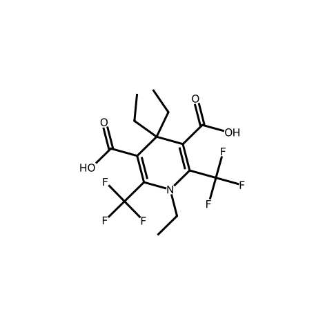 CCN1C(C(F)(F)F)=C(C(=O)O)C(CC)(CC)C(C(=O)O)=C1C(F)(F)F